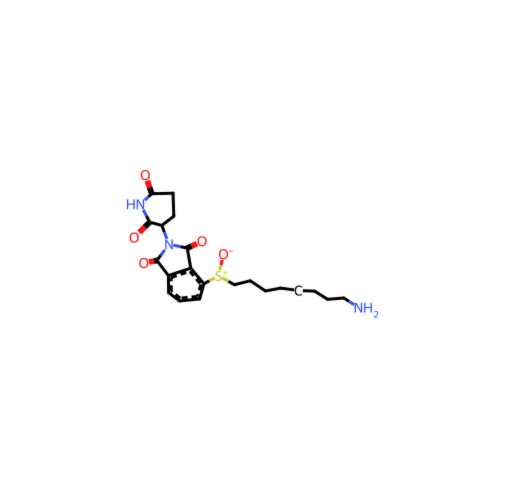 NCCCCCCCC[S+]([O-])c1cccc2c1C(=O)N(C1CCC(=O)NC1=O)C2=O